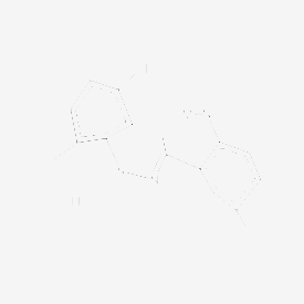 CNc1ccc(Cl)cc1/C(C)=N/N(C)c1cc(Cl)ccc1Cl